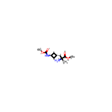 CC(C)(C)OC(=O)N[C@H]1C[C@H](CC(C)(N)C(=O)OC(C)(C)C)C1